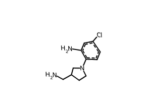 NCC1CCN(c2ccc(Cl)cc2N)C1